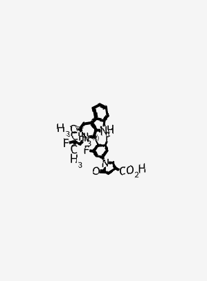 C[C@@H]1Cc2c([nH]c3ccccc23)[C@@H](C2C(F)=CC(N3CC(C(=O)O)CC3=O)=CC2F)N1CC(C)(C)F